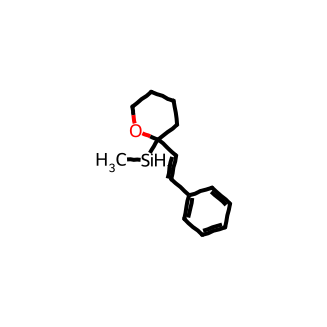 C[SiH2]C1(C=Cc2ccccc2)CCCCO1